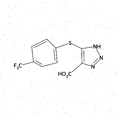 O=C(O)c1nn[nH]c1Sc1ccc(C(F)(F)F)cc1